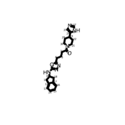 O=C(CCCc1nnc(NC2Cc3ccccc3C2)o1)N1CCC(c2cnc[nH]2)CC1